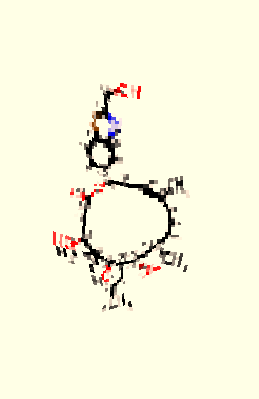 C=CC[C@H]1C(=O)C(C)(C)[C@@H](O)CC(=O)O[C@H](c2ccc3sc(CO)nc3c2)CC=C(C)CCC[C@H](C)[C@@H]1O